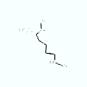 CC(C)NCCCC[C@@H](NC(C)(C)C)C(=O)O